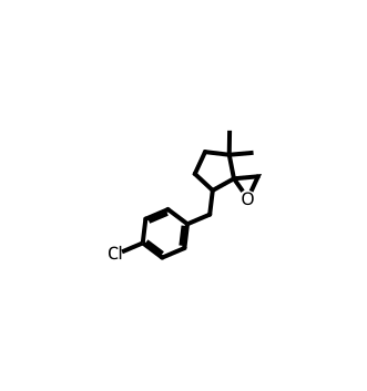 CC1(C)CCC(Cc2ccc(Cl)cc2)C12CO2